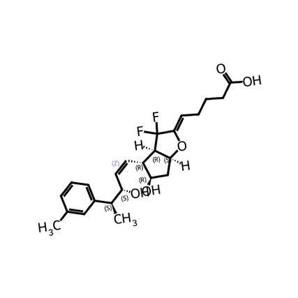 Cc1cccc([C@H](C)[C@@H](O)/C=C\[C@@H]2[C@@H]3[C@H](C[C@H]2O)OC(=CCCCC(=O)O)C3(F)F)c1